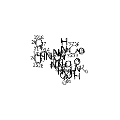 CCNC(=O)[C@H]1O[C@@H](n2cnc3c(NCC(c4ccccc4)c4ccccc4)nc(NC4CCC(=O)CC4)nc32)[C@@H]2OC(C)(C)O[C@@H]21